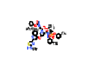 C=C[C@@H]1C[C@]1(NC(=O)[C@@H]1C[C@@H](Oc2cc(-c3csc(NC(C)C)n3)nc3cc(OC)ccc23)CN1C(=O)[C@@H](NC(=O)OC1CCCC1)C(C)(C)C)P(=O)(Oc1cccc(C#N)c1)Oc1cccc(C#N)c1